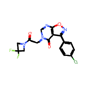 O=C(Cn1cnc2onc(-c3ccc(Cl)cc3)c2c1=O)N1CC(F)(F)C1